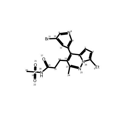 CCc1ccc2c(-c3cncc(Br)c3)c(CCC(=O)NS(C)(=O)=O)c(C)nn12